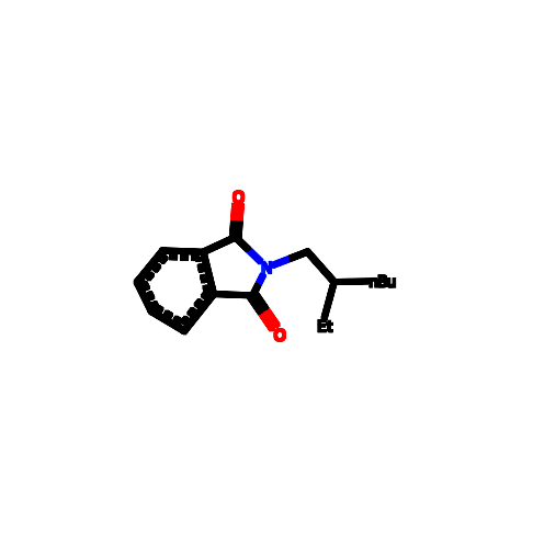 CCCCC(CC)CN1C(=O)c2ccccc2C1=O